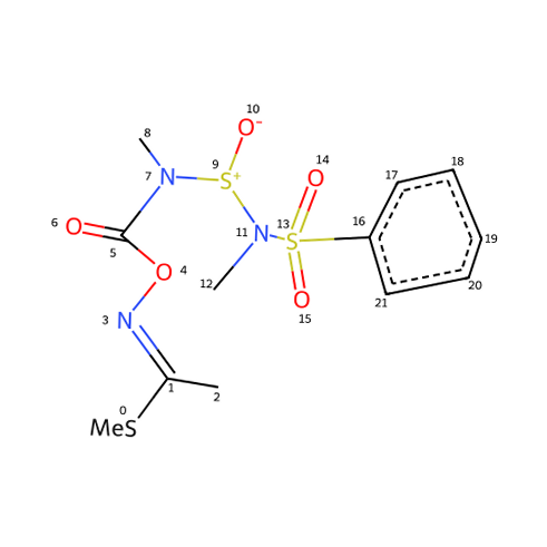 CSC(C)=NOC(=O)N(C)[S+]([O-])N(C)S(=O)(=O)c1ccccc1